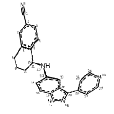 N#Cc1ccc2c(c1)CCC[C@@H]2Nc1ccc2[nH]nc(-c3ccncc3)c2c1